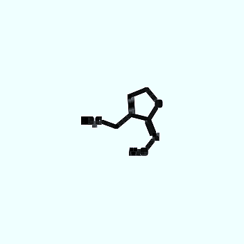 CON=C1OCC=C1CC(=O)O